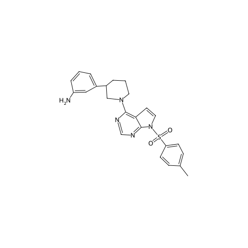 Cc1ccc(S(=O)(=O)n2ccc3c(N4CCCC(c5cccc(N)c5)C4)ncnc32)cc1